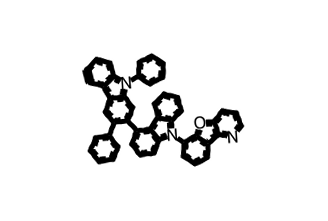 c1ccc2c(c#1)c1cc(-c3ccccc3)c(-c3cccc4c3c3ccccc3n4-c3cccc4c3oc3cccnc34)cc1n2-c1ccccc1